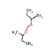 CCC(C)OCOC(C)CC